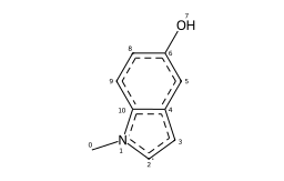 Cn1[c]cc2cc(O)ccc21